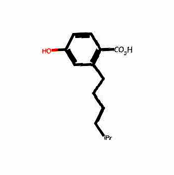 CC(C)CCCCc1cc(O)ccc1C(=O)O